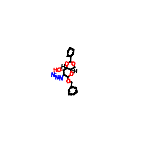 [N-]=[N+]=NC1C(OCc2ccccc2)O[C@@H]2COC(c3ccccc3)O[C@H]2[C@H]1O